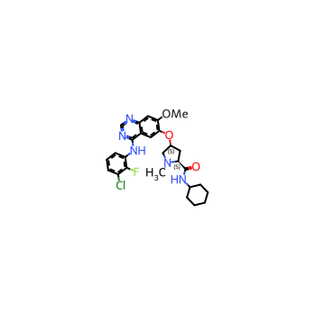 COc1cc2ncnc(Nc3cccc(Cl)c3F)c2cc1O[C@H]1C[C@@H](C(=O)NC2CCCCC2)N(C)C1